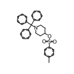 Cc1ccc(S(=O)(=O)OC2CCN(C(c3ccccc3)(c3ccccc3)c3ccccc3)CC2)cc1